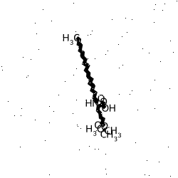 CCC=CCC=CCC=CCC=CCC=CCCCC(=O)NC(CCCCC(=O)OC(C)(C)C)C(=O)O